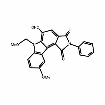 COCn1c2ccc(OC)cc2c2c3c(cc(C=O)c21)C(=O)N(c1ccccc1)C3=O